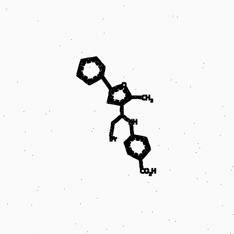 Cc1oc(-c2ccccc2)cc1C(CC(C)C)Nc1ccc(C(=O)O)cc1